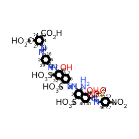 Nc1c(N=Nc2ccc3c(O)c(N=Nc4ccc(N=Nc5cc(C(=O)O)cc(C(=O)O)c5)cc4)c(S(=O)(=O)O)cc3c2S(=O)(=O)O)cc(S(=O)(=O)O)c2ccc(N=Nc3ccc([N+](=O)[O-])cc3S(=O)O)c(O)c12